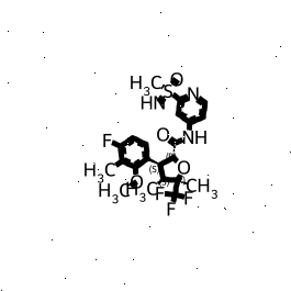 COc1c([C@H]2[C@H](C(=O)Nc3ccnc(S(C)(=N)=O)c3)O[C@@](C)(C(F)(F)F)[C@H]2C)ccc(F)c1C